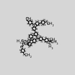 C=Cc1ccc(OCCS(C)(C)CCCC2(c3ccccc3)c3ccccc3-c3ccc(N(c4ccc(-c5ccc(C(C)(C)C)cc5)cc4)c4ccc(-c5ccc6c(c5)c5cc(-c7ccc(C=C)cc7)ccc5n6-c5ccc(C=C)cc5)cc4)cc32)cc1